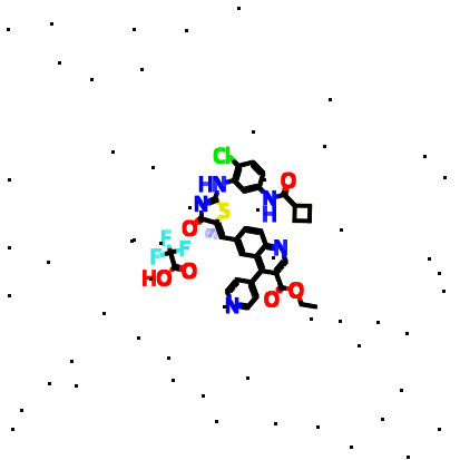 CCOC(=O)c1cnc2ccc(/C=C3\SC(Nc4cc(NC(=O)C5CCC5)ccc4Cl)=NC3=O)cc2c1-c1ccncc1.O=C(O)C(F)(F)F